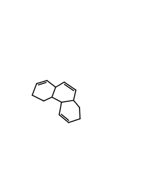 C1=CC2C(C=CC3C=CCCC32)CC1